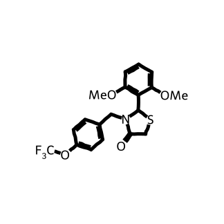 COc1cccc(OC)c1C1SCC(=O)N1Cc1ccc(OC(F)(F)F)cc1